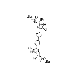 CC(C)[C@H](NC(=O)OC(C)(C)C)c1nc(-c2ccc(-c3ccc(-c4nc([C@@H](NC(=O)OC(C)(C)C)C(C)C)[nH]c4Cl)cc3)cc2)c(Cl)[nH]1